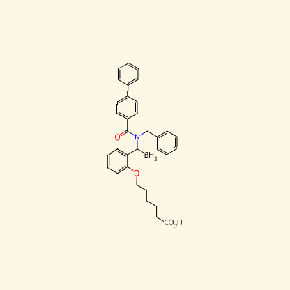 BC(c1ccccc1OCCCCCC(=O)O)N(Cc1ccccc1)C(=O)c1ccc(-c2ccccc2)cc1